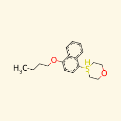 CCCCOc1ccc([SH]2CCOCC2)c2ccccc12